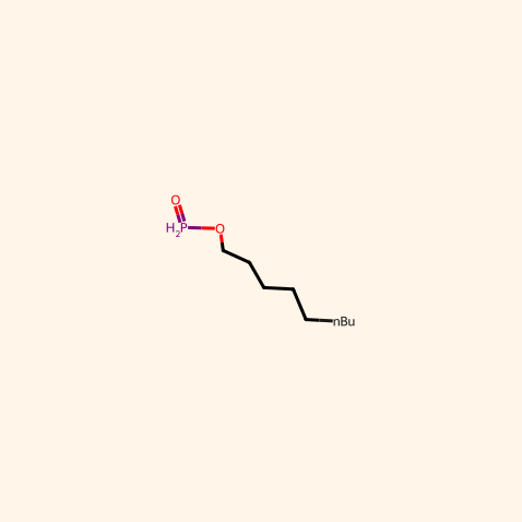 CCCCCCCCCO[PH2]=O